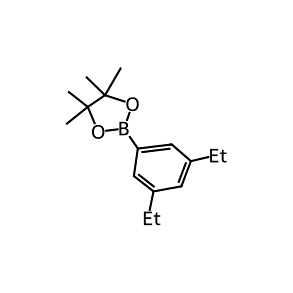 CCc1cc(CC)cc(B2OC(C)(C)C(C)(C)O2)c1